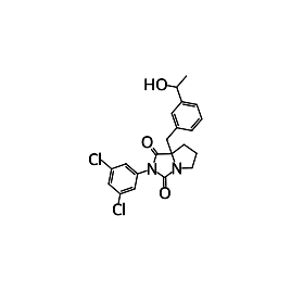 CC(O)c1cccc(CC23CCCN2C(=O)N(c2cc(Cl)cc(Cl)c2)C3=O)c1